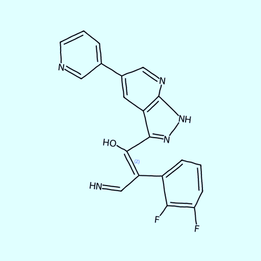 N=C/C(=C(\O)c1n[nH]c2ncc(-c3cccnc3)cc12)c1cccc(F)c1F